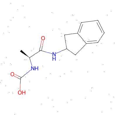 C[C@H](NC(=O)O)C(=O)NC1Cc2ccccc2C1